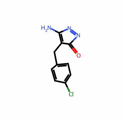 NC1=C(Cc2ccc(Cl)cc2)C(=O)N=N1